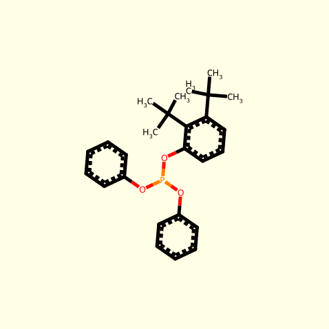 CC(C)(C)c1cccc(OP(Oc2ccccc2)Oc2ccccc2)c1C(C)(C)C